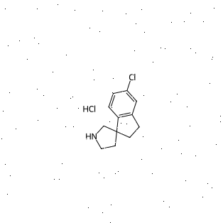 Cl.Clc1ccc2c(c1)CCC21CCNC1